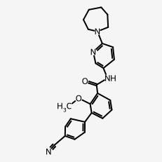 COc1c(C(=O)Nc2ccc(N3CCCCCC3)nc2)cccc1-c1ccc(C#N)cc1